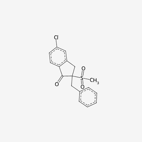 CS(=O)(=O)C1(Cc2ccccc2)Cc2cc(Cl)ccc2C1=O